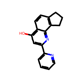 Oc1cc(-c2ccccn2)nc2c3c(ccc12)CCC3